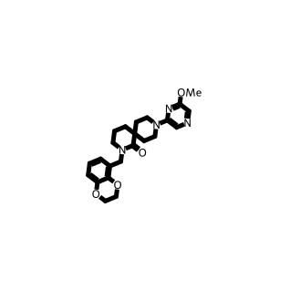 COc1cncc(N2CCC3(CCCN(Cc4cccc5c4OCCO5)C3=O)CC2)n1